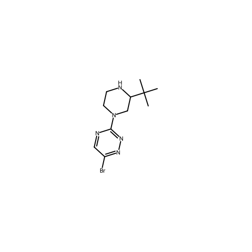 CC(C)(C)C1CN(c2ncc(Br)nn2)CCN1